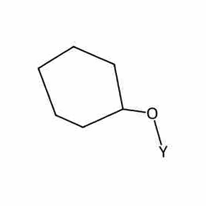 [Y][O]C1CCCCC1